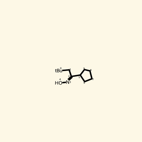 CC(C)(C)CC(=NO)C1CCCC1